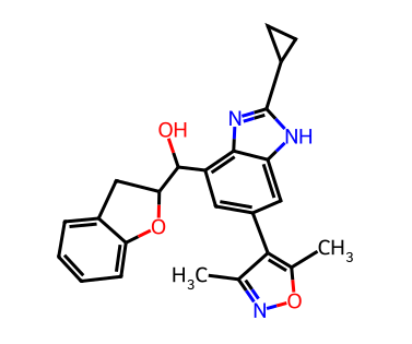 Cc1noc(C)c1-c1cc(C(O)C2Cc3ccccc3O2)c2nc(C3CC3)[nH]c2c1